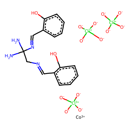 NC(N)(CN=Cc1ccccc1O)N=Cc1ccccc1O.[Co+3].[O-][Cl+3]([O-])([O-])[O-].[O-][Cl+3]([O-])([O-])[O-].[O-][Cl+3]([O-])([O-])[O-]